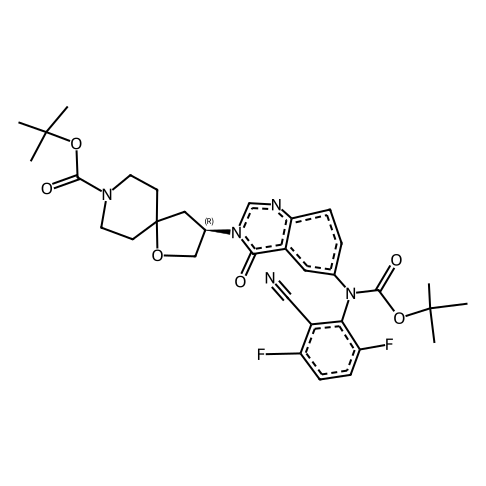 CC(C)(C)OC(=O)N1CCC2(CC1)C[C@@H](n1cnc3ccc(N(C(=O)OC(C)(C)C)c4c(F)ccc(F)c4C#N)cc3c1=O)CO2